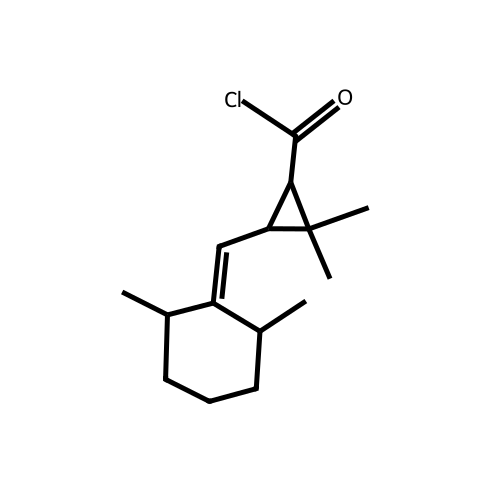 CC1CCCC(C)C1=CC1C(C(=O)Cl)C1(C)C